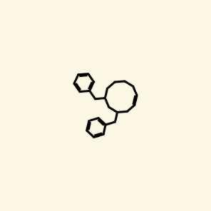 C1=CCC(Cc2ccccc2)CC(Cc2ccccc2)CCCC1